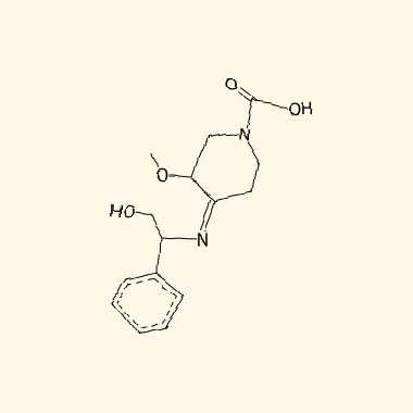 COC1CN(C(=O)O)CCC1=NC(CO)c1ccccc1